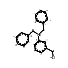 ClCc1[c]ccc(N(Cc2ccccc2)Cc2ccccc2)c1